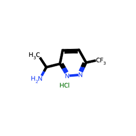 CC(N)c1ccc(C(F)(F)F)nn1.Cl